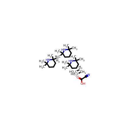 CC(=O)O.CC(=O)O.CC1(C)CCCC(C)(C)N1.CC1(C)CCCC(C)(C)N1.CC1(C)CCCC(C)(C)N1.N#CC(=O)O